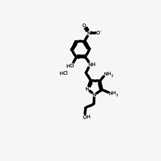 Cl.Nc1c(CNc2cc([N+](=O)[O-])ccc2O)nn(CCO)c1N